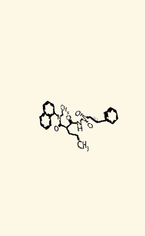 CCCC(C(=O)NS(=O)(=O)/C=C/c1ccccc1)C(=O)N(CC)c1cccc2ccccc12